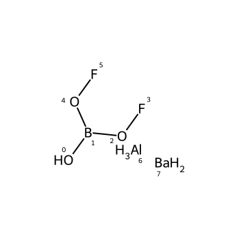 OB(OF)OF.[AlH3].[BaH2]